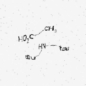 CC(=O)O.CC(C)(C)NC(C)(C)C